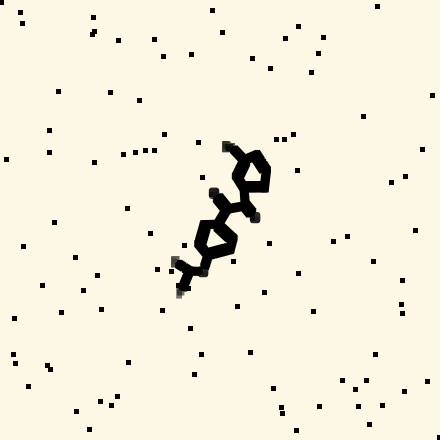 O=C(C(=O)c1cccc(Br)c1)c1ccc(OC(F)F)cc1